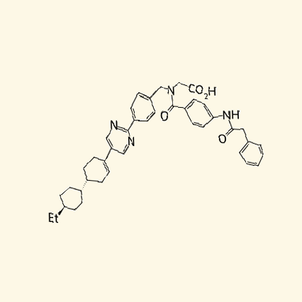 CC[C@H]1CC[C@H](C2CC=C(c3cnc(-c4ccc(CN(CC(=O)O)C(=O)c5ccc(NC(=O)Cc6ccccc6)cc5)cc4)nc3)CC2)CC1